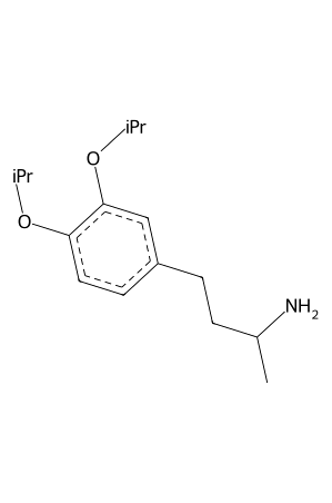 CC(N)CCc1ccc(OC(C)C)c(OC(C)C)c1